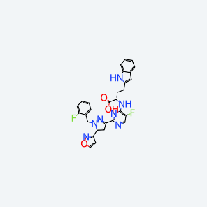 O=C(O)[C@H](CCc1cc2ccccc2[nH]1)Nc1nc(-c2cc(-c3ccon3)n(Cc3ccccc3F)n2)ncc1F